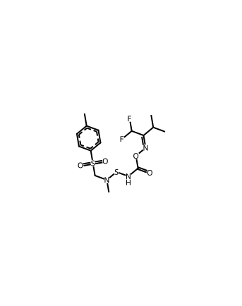 Cc1ccc(S(=O)(=O)CN(C)SNC(=O)ON=C(C(C)C)C(F)F)cc1